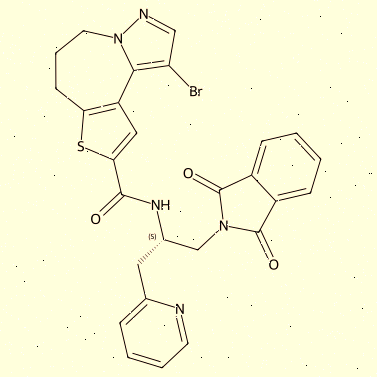 O=C(N[C@@H](Cc1ccccn1)CN1C(=O)c2ccccc2C1=O)c1cc2c(s1)CCCn1ncc(Br)c1-2